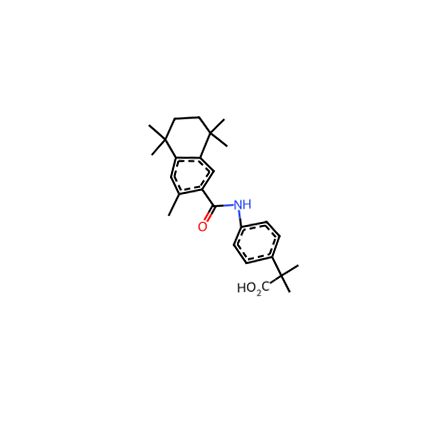 Cc1cc2c(cc1C(=O)Nc1ccc(C(C)(C)C(=O)O)cc1)C(C)(C)CCC2(C)C